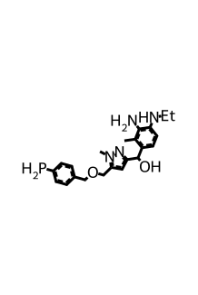 CCNc1ccc(C(O)c2cc(COCc3ccc(P)cc3)n(C)n2)c(C)c1N